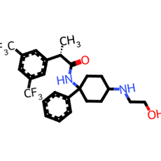 C[C@H](C(=O)NC1(c2ccccc2)CCC(NCCO)CC1)c1cc(C(F)(F)F)cc(C(F)(F)F)c1